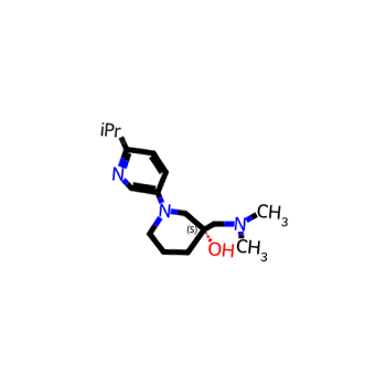 CC(C)c1ccc(N2CCC[C@](O)(CN(C)C)C2)cn1